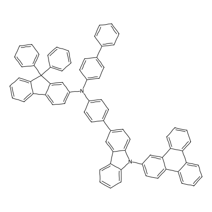 c1ccc(-c2ccc(N(c3ccc(-c4ccc5c(c4)c4ccccc4n5-c4ccc5c6ccccc6c6ccccc6c5c4)cc3)c3ccc4c(c3)C(c3ccccc3)(c3ccccc3)c3ccccc3-4)cc2)cc1